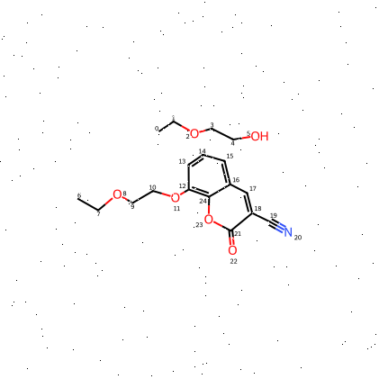 CCOCCO.CCOCCOc1cccc2cc(C#N)c(=O)oc12